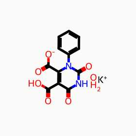 O.O=C(O)c1c(C(=O)[O-])n(-c2ccccc2)c(=O)[nH]c1=O.[K+]